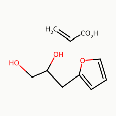 C=CC(=O)O.OCC(O)Cc1ccco1